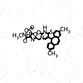 CNC(=O)C1=NC(Cn2cc(C3c4ccc(C)cc4C=Cc4cc(C)ccc43)c(=S)[nH]c2=O)OC1=S(=O)=O